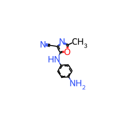 Cc1nc(C#N)c(Nc2ccc(N)cc2)o1